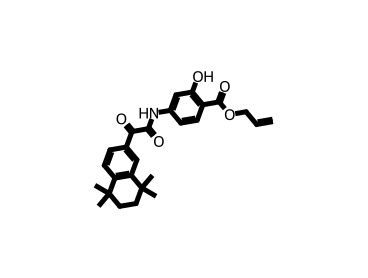 C=CCOC(=O)c1ccc(NC(=O)C(=O)c2ccc3c(c2)C(C)(C)CCC3(C)C)cc1O